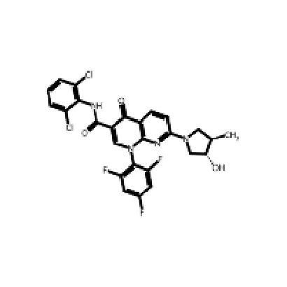 C[C@@H]1CN(c2ccc3c(=O)c(C(=O)Nc4c(Cl)cccc4Cl)cn(-c4c(F)cc(F)cc4F)c3n2)C[C@H]1O